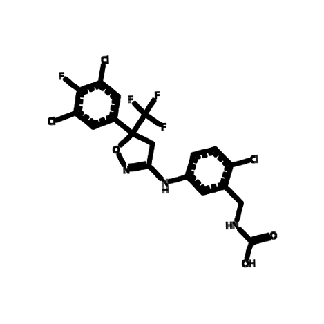 O=C(O)NCc1cc(NC2=NOC(c3cc(Cl)c(F)c(Cl)c3)(C(F)(F)F)C2)ccc1Cl